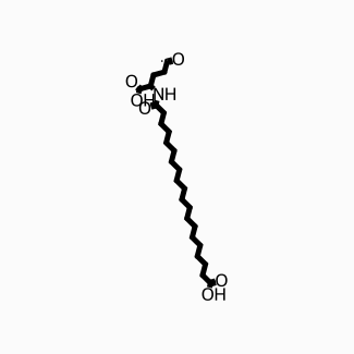 O=[C]CCC(NC(=O)CCCCCCCCCCCCCCCCCCC(=O)O)C(=O)O